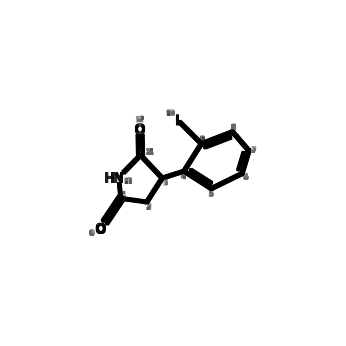 O=C1CC(c2ccccc2I)C(=O)N1